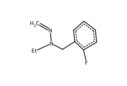 C=NN(CC)Cc1ccccc1F